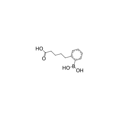 O=C(O)CCCCc1ccccc1B(O)O